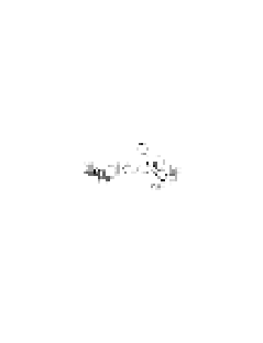 Cc1cc(C(=O)N2CCCC(N3CCN(C4CCN(C(=O)c5cc(C(F)(F)F)cc(C(F)(F)F)c5)C(Cc5ccccc5)C4)CC3)CC2)n(C)n1